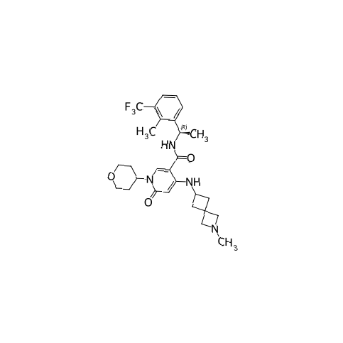 Cc1c([C@@H](C)NC(=O)c2cn(C3CCOCC3)c(=O)cc2NC2CC3(C2)CN(C)C3)cccc1C(F)(F)F